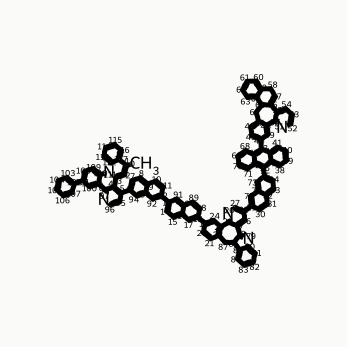 CC1=C=C2c3c(-c4ccc5ccc(-c6ccc7cc(-c8ccc9c(c8)-c8ncc(-c%10ccc%11ccc(-c%12c%13ccccc%13c(-c%13ccc%14c(c%13)-c%13ncccc%13C%13=CCc%15ccccc%15C%13C%14)c%13ccccc%12%13)cc%11c%10)cc8C8=Nc%10ccccc%10C8C9)ccc7c6)cc5c4)ccnc3-c3cc(-c4ccccc4)ccc3N2c2ccccc21